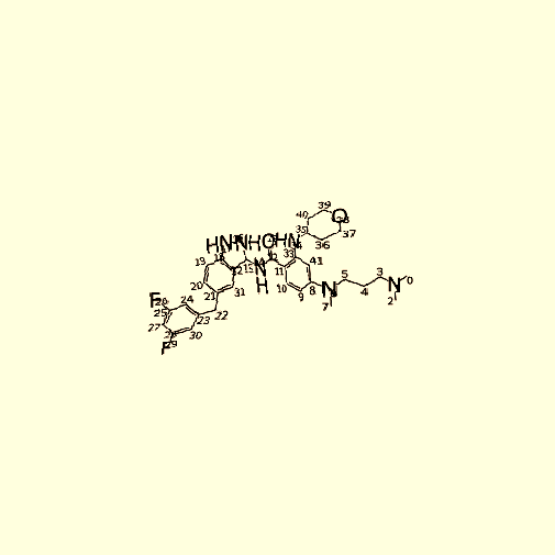 CN(C)CCCN(C)c1ccc(C(=O)NC2NNc3ccc(Cc4cc(F)cc(F)c4)cc32)c(NC2CCOCC2)c1